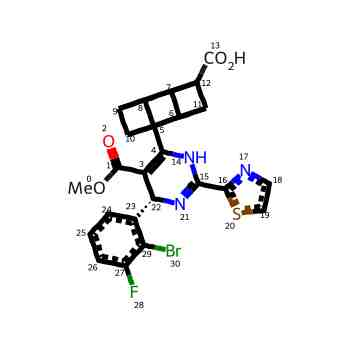 COC(=O)C1=C(C23C4C5C2C2C3C4C52C(=O)O)NC(c2nccs2)=N[C@@H]1c1cccc(F)c1Br